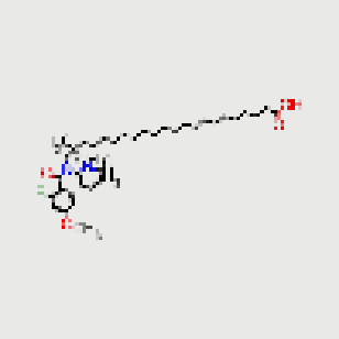 COc1ccc(C(=O)N(CC(C)(C)CCCCCCCCCCCCCCCCCCCC(=O)O)c2cccc(C)n2)c(F)c1